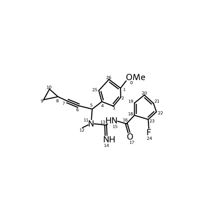 COc1ccc(C(C#CC2CC2)N(C)C(=N)NC(=O)c2ccccc2F)cc1